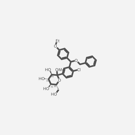 CCOc1ccc(C(OCc2ccccc2)c2cc(C3(OC)O[C@H](CO)[C@@H](O)[C@H](O)[C@H]3O)ccc2Cl)cc1